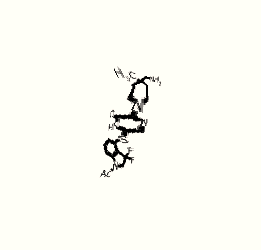 CC(=O)N1CC(F)(F)c2c(Sc3cnc(N4CCC(C)(CN)CC4)c(=O)[nH]3)cccc21